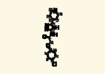 O=C(COc1ccc(Cl)cc1)Nc1nnc(-c2ccncc2)[nH]1